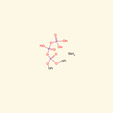 CCCOP(=O)(OCCC)OP(=O)(O)OP(=O)(O)O.[SbH3]